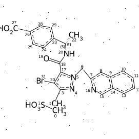 CS(=O)(=O)O.Cc1nn(Cc2cc3ccccc3cn2)c(C(=O)N[C@@H](C)c2ccc(C(=O)O)cc2)c1Br